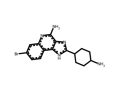 Nc1nc2cc(Br)ccc2c2[nH]c(C3CCC(N)CC3)nc12